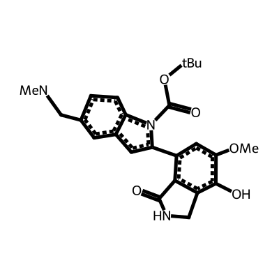 CNCc1ccc2c(c1)cc(-c1cc(OC)c(O)c3c1C(=O)NC3)n2C(=O)OC(C)(C)C